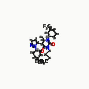 CCOC(=O)CCCn1c(=O)c(-c2ccnn2-c2ccc(C#N)cc2)c(C)n(-c2cccc(C(F)(F)F)c2)c1=O